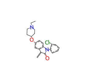 C=C1C(=O)N(c2ccccc2Cl)c2ccc(OC3CCN(CC)CC3)cc21